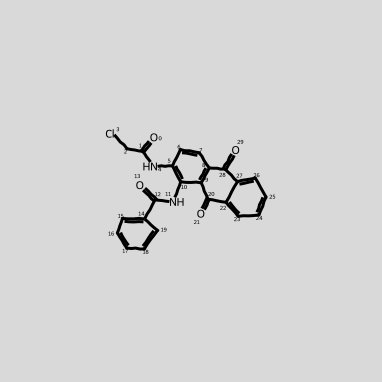 O=C(CCl)Nc1ccc2c(c1NC(=O)c1ccccc1)C(=O)c1ccccc1C2=O